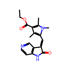 CCOC(=O)c1c(C)c(C=C2C(=O)Nc3ccncc32)n(C)c1C